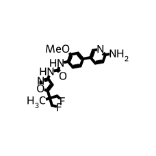 COc1cc(-c2ccc(N)nc2)ccc1NC(=O)Nc1cc(C(C)(CF)CF)on1